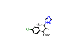 CC(=O)OC(c1ccc(Cl)cc1)C(C)C(n1cncn1)C(C)(C)C